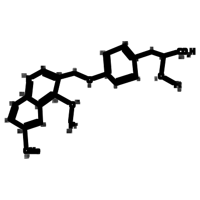 CCOC(Cc1ccc(OCc2cnc3ccc(OC)cc3c2OC(C)C)cc1)C(=O)O